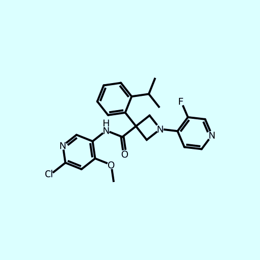 COc1cc(Cl)ncc1NC(=O)C1(c2ccccc2C(C)C)CN(c2ccncc2F)C1